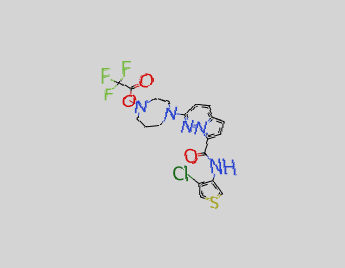 O=C(Nc1cscc1Cl)c1ccc2ccc(N3CCCN(OC(=O)C(F)(F)F)CC3)nn12